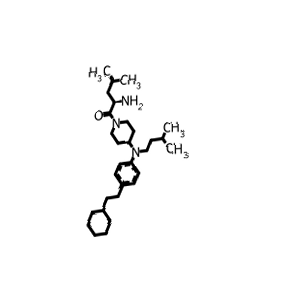 CC(C)CCN(c1ccc(CCC2CCCCC2)cc1)C1CCN(C(=O)[C@H](N)CC(C)C)CC1